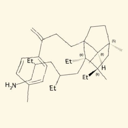 C=C(CCC12CC[C@@](C)(C[C@@](C)(CC)[C@@]1(CC)CC(CC)CC(CC)CN)[C@H]2C)c1ccc(C)cc1